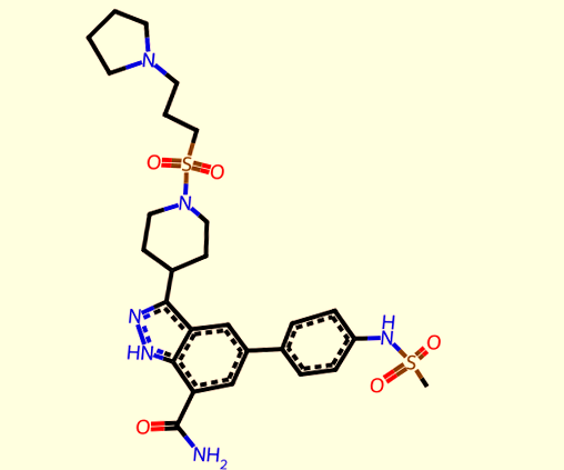 CS(=O)(=O)Nc1ccc(-c2cc(C(N)=O)c3[nH]nc(C4CCN(S(=O)(=O)CCCN5CCCC5)CC4)c3c2)cc1